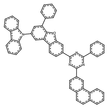 c1ccc(-c2nc(-c3ccc4c(c3)oc3c(-c5ccccc5)cc(-n5c6ccccc6c6ccccc65)cc34)nc(-c3ccc4ccc5ccccc5c4c3)n2)cc1